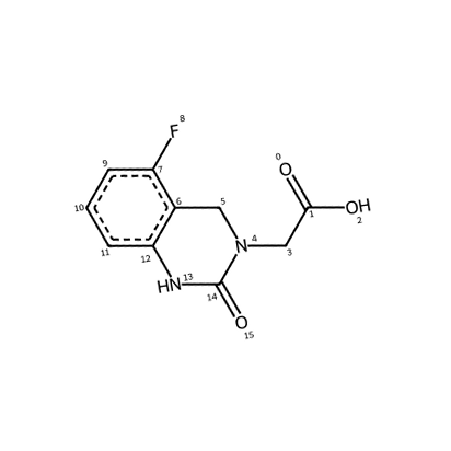 O=C(O)CN1Cc2c(F)cccc2NC1=O